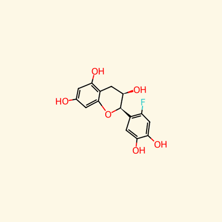 Oc1cc(O)c2c(c1)O[C@H](c1cc(O)c(O)cc1F)[C@H](O)C2